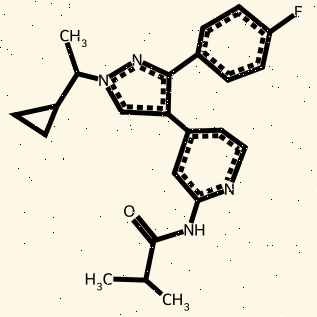 CC(C)C(=O)Nc1cc(-c2cn(C(C)C3CC3)nc2-c2ccc(F)cc2)ccn1